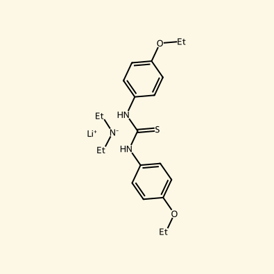 CCOc1ccc(NC(=S)Nc2ccc(OCC)cc2)cc1.CC[N-]CC.[Li+]